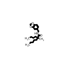 CCCCCC(C)(CCCC)C(=O)NCc1ccc2c(c1)OCO2